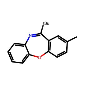 Cc1ccc2c(c1)C(C(C)(C)C)=Nc1ccccc1O2